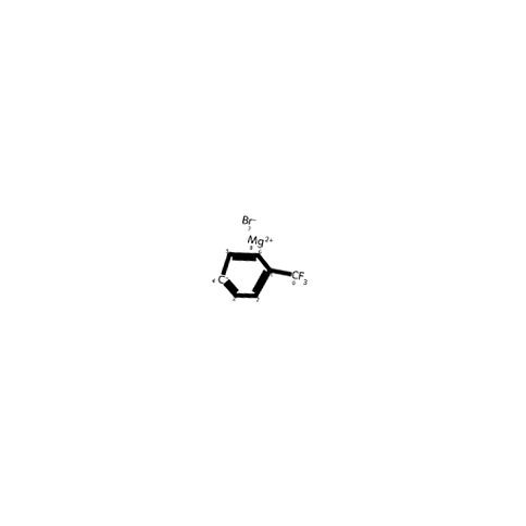 FC(F)(F)c1cc[c-]cc1.[Br-].[Mg+2]